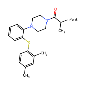 CCCCCC(C)C(=O)N1CCN(c2ccccc2Sc2ccc(C)cc2C)CC1